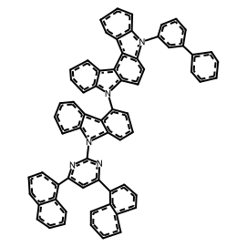 c1ccc(-c2cccc(-n3c4ccccc4c4c5c6ccccc6n(-c6cccc7c6c6ccccc6n7-c6nc(-c7cccc8ccccc78)cc(-c7cccc8ccccc78)n6)c5ccc43)c2)cc1